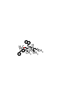 COC(=O)C(CCSC)NC(=O)CN(Cc1cccc2ccccc12)CC(CC(C)C)N(C(C)=O)c1ccc(Cc2ccccc2)cc1